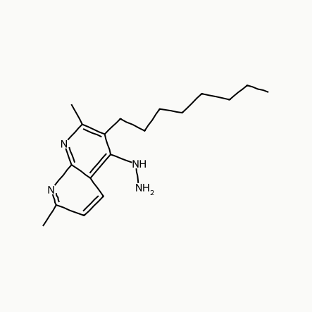 CCCCCCCCc1c(C)nc2nc(C)ccc2c1NN